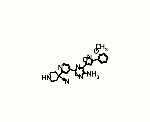 COc1ccccc1-c1cc(-c2nc(-c3ccnc(C4(C#N)CCNCC4)c3)cnc2N)on1